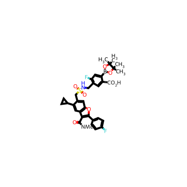 CNC(=O)c1c(-c2ccc(F)cc2)oc2cc(CS(=O)(=O)NCc3cc(C(=O)O)c(B4OC(C)(C)C(C)(C)O4)cc3F)c(C3CC3)cc12